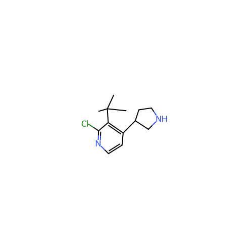 CC(C)(C)c1c(C2CCNC2)ccnc1Cl